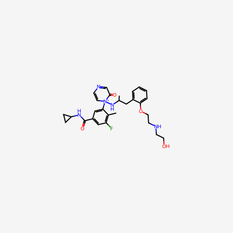 Cc1c(F)cc(C(=O)NC2CC2)cc1[N+]1(NC(C)Cc2ccccc2OCCNCCO)C=CN=CC1=O